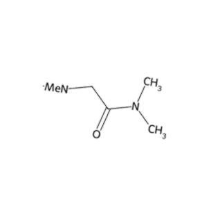 C[N]CC(=O)N(C)C